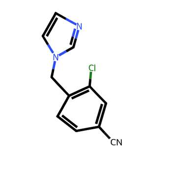 N#Cc1ccc(Cn2ccnc2)c(Cl)c1